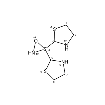 C1CSC(S2(C3NCCS3)NO2)N1